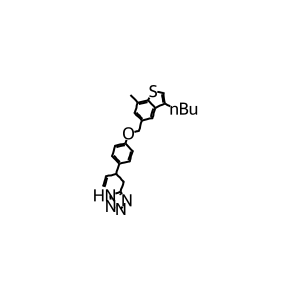 C=CC(Cc1nnn[nH]1)c1ccc(OCc2cc(C)c3scc(CCCC)c3c2)cc1